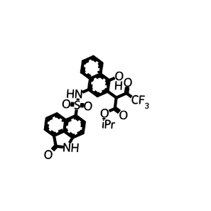 CC(C)OC(=O)C(C(=O)C(F)(F)F)c1cc(NS(=O)(=O)c2ccc3c4c(cccc24)C(=O)N3)c2ccccc2c1O